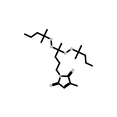 CCCC(C)(C)OOC(C)(CCCN1C(=O)C=C(C)C1=O)OOC(C)(C)CCC